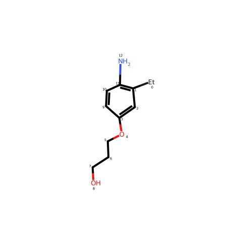 CCc1cc(OCCCO)ccc1N